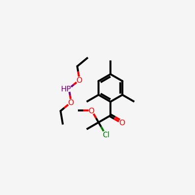 CCOPOCC.COC(C)(Cl)C(=O)c1c(C)cc(C)cc1C